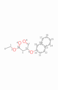 CCOC(=O)CC([C]=O)Oc1ccc2ccccc2c1